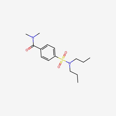 CCCN(CCC)S(=O)(=O)c1ccc(C(=O)N(C)C)cc1